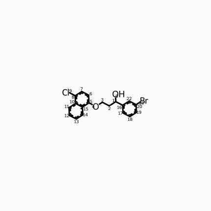 OC(CCOc1ccc(Cl)c2ccccc12)c1cccc(Br)c1